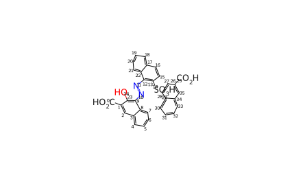 O=C(O)c1cc2ccccc2c(/N=N/c2c(S(=O)(=O)O)ccc3ccccc23)c1O.O=C(O)c1ccc2ccccc2c1